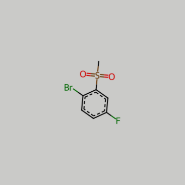 CS(=O)(=O)c1cc(F)ccc1Br